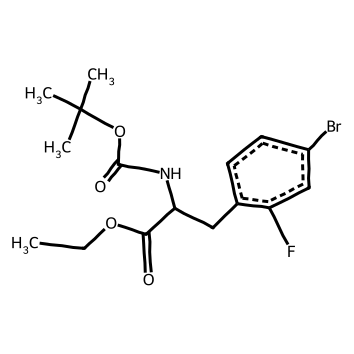 CCOC(=O)C(Cc1ccc(Br)cc1F)NC(=O)OC(C)(C)C